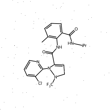 Cc1cccc(C(=O)NC(C)C)c1NC(=O)C1=CCN(C(F)(F)F)N1c1ncccc1Cl